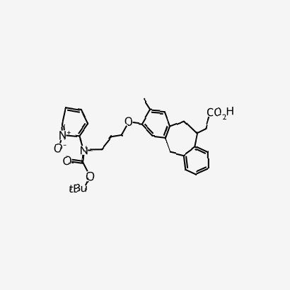 Cc1cc2c(cc1OCCCN(C(=O)OC(C)(C)C)c1cccc[n+]1[O-])Cc1ccccc1C(CC(=O)O)C2